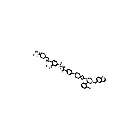 CC(C)c1ccccc1C1CN(Cc2ccc3occc3c2)CCN1C1CC2(CCN(c3ccc(C(=O)NS(=O)(=O)c4ccc(NCC5CCC(C)(O)CC5)c([N+](=O)[O-])c4)cc3)CC2)C1